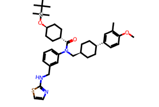 COc1ccc([C@H]2CC[C@H](CN(c3cccc(CNc4nccs4)c3)C(=O)[C@H]3CC[C@H](O[Si](C)(C)C(C)(C)C)CC3)CC2)cc1C